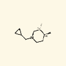 C[C@H]1CCN(CC2CC2)C[C@@H]1C